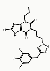 CCCn1c(=O)n(CCCn2nnc(Cc3cc(F)c(F)c(F)c3)n2)c(=O)c2[nH]c(Cl)nc21